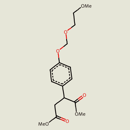 COCCOCOc1ccc(C(CC(=O)OC)C(=O)OC)cc1